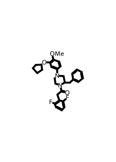 COc1ccc(N2CCN(C(=O)Cc3c(F)cccc3F)C(Cc3ccccc3)C2)cc1OC1CCCC1